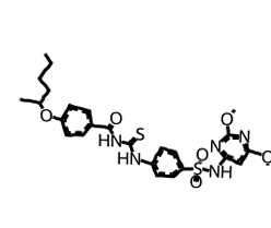 CCCCC(C)Oc1ccc(C(=O)NC(=S)Nc2ccc(S(=O)(=O)Nc3cc(OC)nc(OC)n3)cc2)cc1